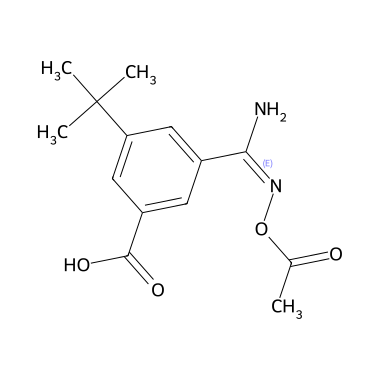 CC(=O)O/N=C(/N)c1cc(C(=O)O)cc(C(C)(C)C)c1